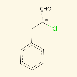 O=C[C@H](Cl)Cc1ccccc1